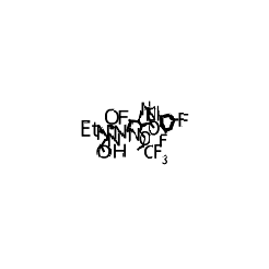 CCn1c(CO)nn(-c2nc(OC(C)C(F)(F)F)c3c(Oc4c(F)cc(F)cc4Cl)nncc3c2F)c1=O